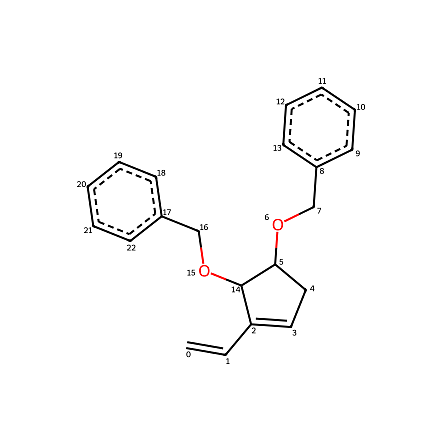 C=CC1=CCC(OCc2ccccc2)C1OCc1ccccc1